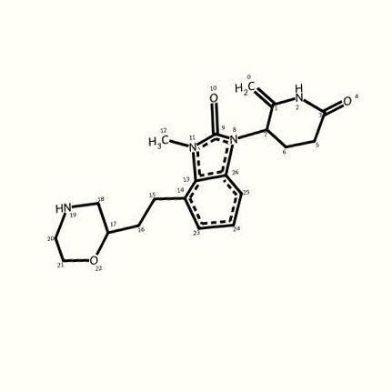 C=C1NC(=O)CCC1n1c(=O)n(C)c2c(CCC3CNCCO3)cccc21